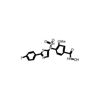 COc1cc(C(=O)NO)ccc1N(c1cnc(-c2ccc(F)cc2)s1)[SH](=O)=O